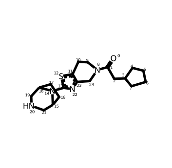 O=C(CC1CCCC1)N1CCc2sc(N3C4CCC3CNC4)nc2C1